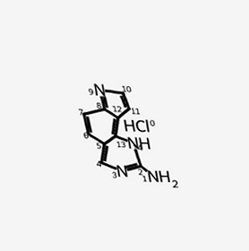 Cl.Nc1ncc2ccc3nccc3c2[nH]1